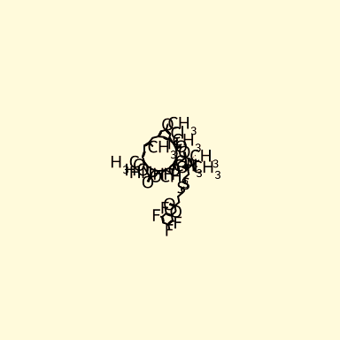 COc1cc2cc(c1Cl)N(C)C(=O)C[C@H](OC(=O)[C@H](C)N(C)C(=O)CCSSCCCC(=O)Oc1c(F)c(F)cc(F)c1F)[C@]1(C)O[C@H]1[C@H](C)[C@@H]1C[C@@](O)(NC(=O)O1)[C@H](OC)/C=C/C=C(\C)C2